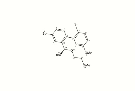 CCc1ccc(-c2cc(OC)ccc2F)c([C@@H](OCCOC)C(C)(C)C)c1